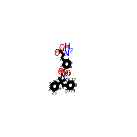 N[C@@H](Cc1cccc(S(=O)(=O)N2CC(Cc3ccccc3)(c3ccccc3)C2)c1)C(=O)O